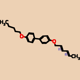 C/C=C/C=C/COc1ccc(-c2ccc(OCCCCC)cc2)cc1